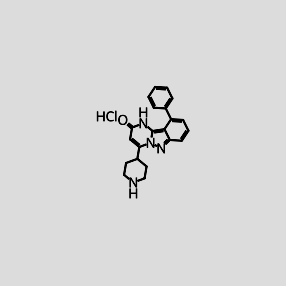 Cl.O=c1cc(C2CCNCC2)n2nc3cccc(-c4ccccc4)c3c2[nH]1